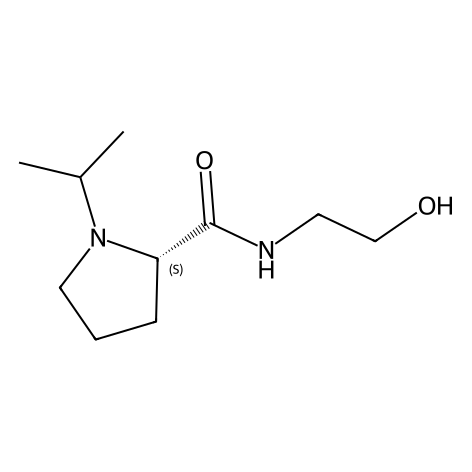 CC(C)N1CCC[C@H]1C(=O)NCCO